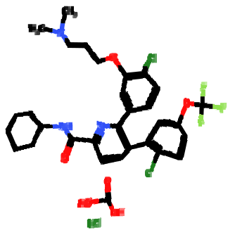 CN(C)CCCOc1cc(-c2nc(C(=O)NC3CCCCC3)ccc2-c2cc(OC(F)(F)F)ccc2Cl)ccc1Cl.Cl.O=C(O)O